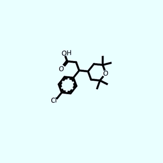 CC1(C)CC(C(CC(=O)O)c2ccc(Cl)cc2)CC(C)(C)O1